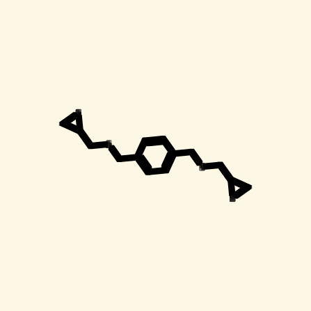 c1cc(CSCC2CS2)ccc1CSCC1CS1